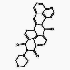 O=C1c2ccc3c(=O)n4c5cccc6cccc(nc4c4ccc(c2c34)C(=O)N1N1CCOCC1)c65